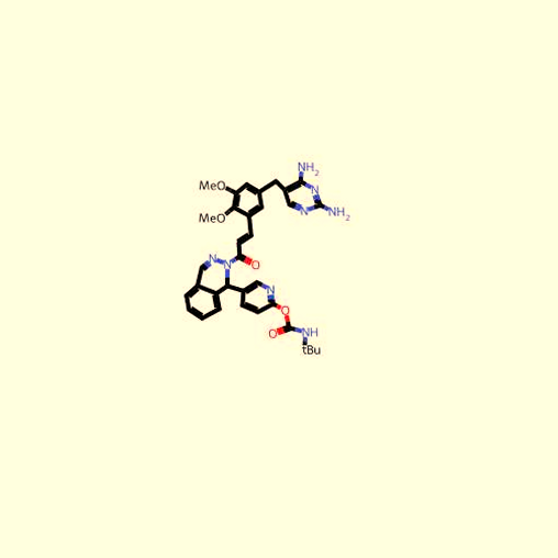 COc1cc(Cc2cnc(N)nc2N)cc(/C=C/C(=O)N2N=Cc3ccccc3C2c2ccc(OC(=O)NC(C)(C)C)nc2)c1OC